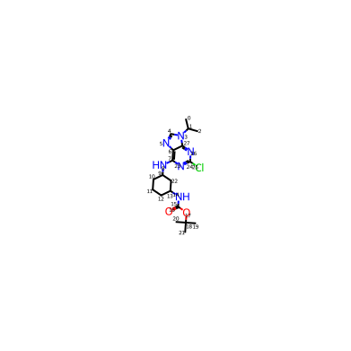 CC(C)n1cnc2c(NC3CCCC(NC(=O)OC(C)(C)C)C3)nc(Cl)nc21